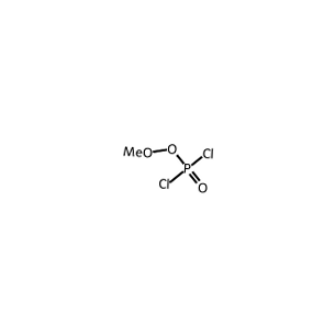 COOP(=O)(Cl)Cl